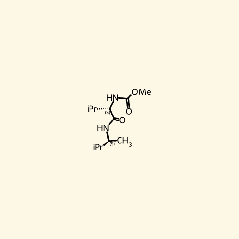 COC(=O)N[C@H](C(=O)N[C@@H](C)C(C)C)C(C)C